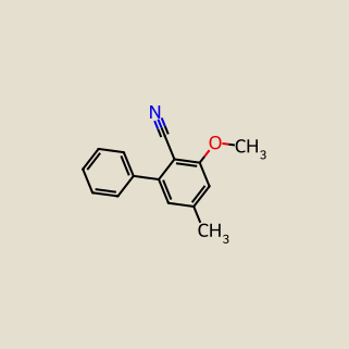 COc1cc(C)cc(-c2ccccc2)c1C#N